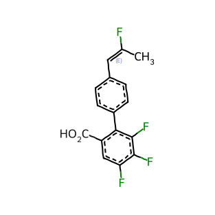 C/C(F)=C\c1ccc(-c2c(C(=O)O)cc(F)c(F)c2F)cc1